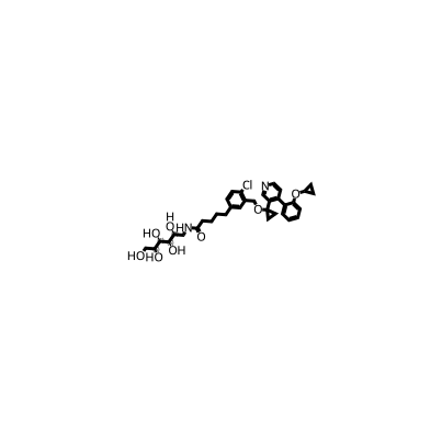 O=C(CCCCc1ccc(Cl)c(COC2(c3cnccc3-c3ccccc3OC3CC3)CC2)c1)NC[C@@H](O)[C@H](O)[C@@H](O)[C@@H](O)CO